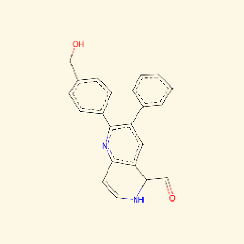 O=CC1NC=Cc2nc(-c3ccc(CO)cc3)c(-c3ccccc3)cc21